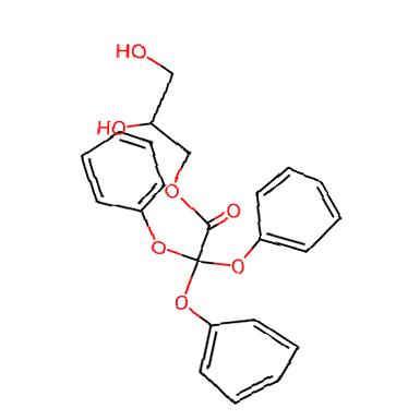 O=C(OCC(O)CO)C(Oc1ccccc1)(Oc1ccccc1)Oc1ccccc1